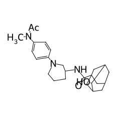 CC(=O)N(C)c1ccc(N2CCCC(NC(=O)C34CC5CC(C3)C(O)C(C5)C4)C2)cc1